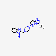 FC(F)(F)c1nnc2ccc(N3CCN(Cc4nc5ccccc5[nH]4)CC3)nn12